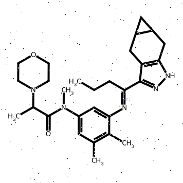 CCC/C(=N\c1cc(N(C)C(=O)C(C)N2CCOCC2)cc(C)c1C)c1n[nH]c2c1CC1CC1C2